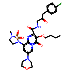 CCCCOc1c(C(=O)NCC(=O)Cc2ccc(F)cc2)nc2c(N3CCN(C)S3(=O)=O)cc(N3CCOCC3)cn2c1=O